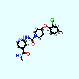 CNC(=O)c1ccnc(NC(=O)N2CCC(Oc3ccc(C)cc3Cl)CC2)c1